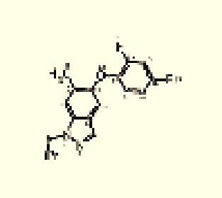 Cc1cc2c(cnn2CC(C)C)cc1Oc1ccc(F)cc1F